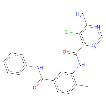 Cc1ccc(C(=O)Nc2ccccc2)cc1NC(=O)c1ncnc(N)c1Cl